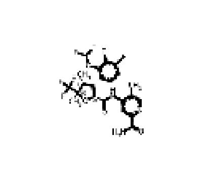 Cc1cnc(C(N)=O)cc1NC(=O)[C@H]1O[C@](C)(C(F)(F)F)[C@H](C)[C@@H]1c1ccc(F)c(F)c1OC(F)F